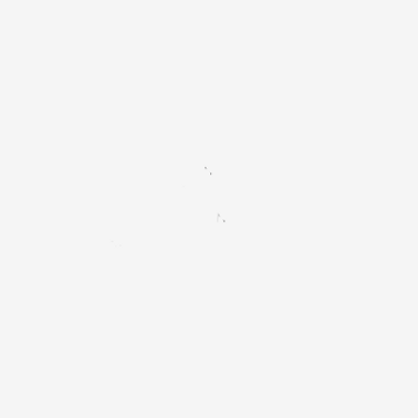 Brc1ccc2ncn(C3CCCCC3)c2c1